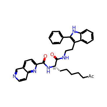 CC(=O)CCCCC[C@H](NC(=O)c1ccc2cnccc2n1)C(=O)NCCc1c(-c2ccccc2)[nH]c2ccccc12